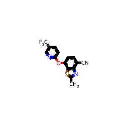 Cc1nc2c(C#N)ccc(Oc3ccc(C(F)(F)F)cn3)c2s1